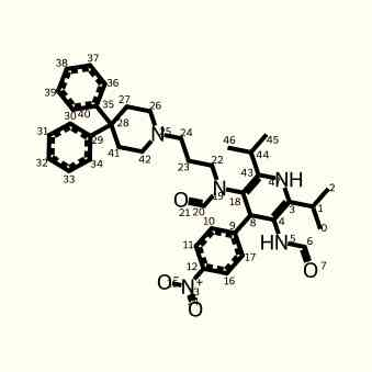 CC(C)C1=C(NC=O)C(c2ccc([N+](=O)[O-])cc2)C(N(C=O)CCCN2CCC(c3ccccc3)(c3ccccc3)CC2)=C(C(C)C)N1